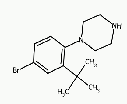 CC(C)(C)c1cc(Br)ccc1N1CCNCC1